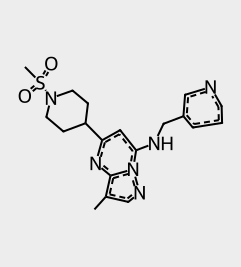 Cc1cnn2c(NCc3cccnc3)cc(C3CCN(S(C)(=O)=O)CC3)nc12